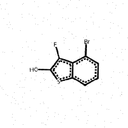 Oc1sc2cccc(Br)c2c1F